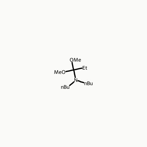 [CH2]CC(OC)(OC)N(CCCC)CCCC